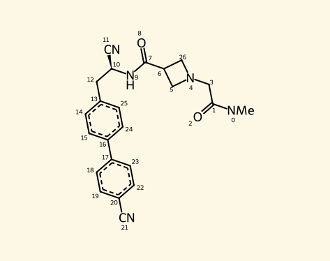 CNC(=O)CN1CC(C(=O)N[C@H](C#N)Cc2ccc(-c3ccc(C#N)cc3)cc2)C1